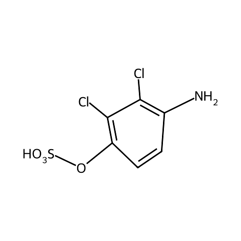 Nc1ccc(OS(=O)(=O)O)c(Cl)c1Cl